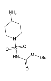 CC(C)(C)OC(=O)NS(=O)(=O)N1CCC(N)CC1